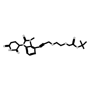 Cn1c(=O)n(C2CCC(=O)NC2=O)c2cccc(C#CCOCCOCC(=O)OC(C)(C)C)c21